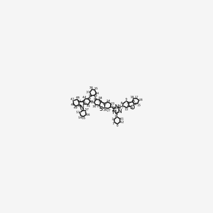 c1ccc(-c2nc(-c3ccc4c(c3)oc3ccccc34)nc(-c3ccc4c(c3)sc3ccc(-c5ccccc5-c5ccc6c(c5)c5ccccc5n6-c5ccccc5)cc34)n2)cc1